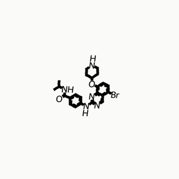 CC(C)NC(=O)c1ccc(Nc2ncc3c(Br)ccc(OC4CCNCC4)c3n2)cc1